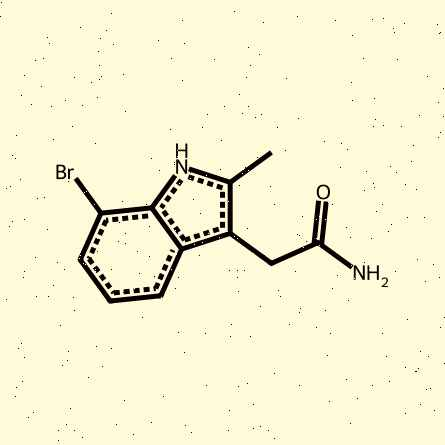 Cc1[nH]c2c(Br)cccc2c1CC(N)=O